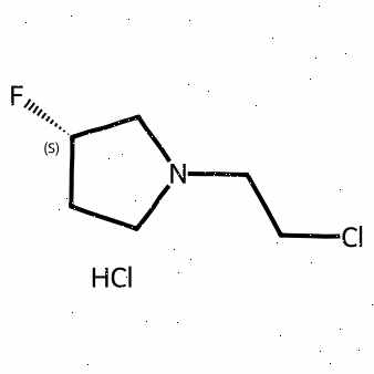 Cl.F[C@H]1CCN(CCCl)C1